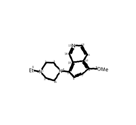 CCN1CCN(c2ccc(OC)c3ccncc23)CC1